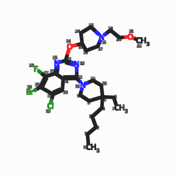 CCCCCC1(CC)CCN(c2nc(OC3CCN(CCOC)CC3)nc3c(F)c(Br)c(Cl)cc23)CC1